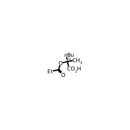 CCCC[C@](C)(OC(=O)CC)C(=O)O